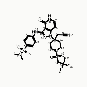 CN(C)S(=O)(=O)c1ccc(Nc2nn(C3(CC#N)CCN(S(=O)(=O)CC(F)(F)F)CC3)c3cc[nH]c(=O)c23)cc1